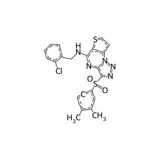 Cc1ccc(S(=O)(=O)c2nnn3c2nc(NCc2ccccc2Cl)c2sccc23)cc1C